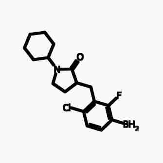 Bc1ccc(Cl)c(CC2CCN(C3CCCCC3)C2=O)c1F